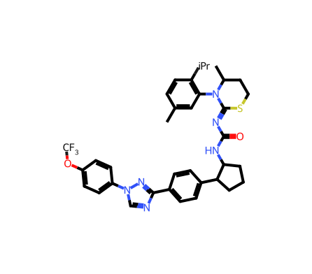 Cc1ccc(C(C)C)c(N2/C(=N/C(=O)NC3CCCC3c3ccc(-c4ncn(-c5ccc(OC(F)(F)F)cc5)n4)cc3)SCCC2C)c1